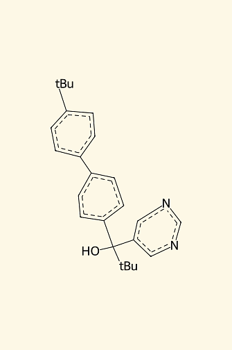 CC(C)(C)c1ccc(-c2ccc(C(O)(c3cncnc3)C(C)(C)C)cc2)cc1